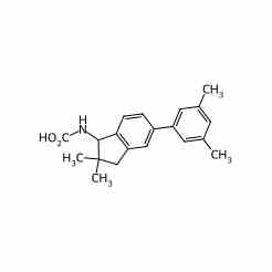 Cc1cc(C)cc(-c2ccc3c(c2)CC(C)(C)C3NC(=O)O)c1